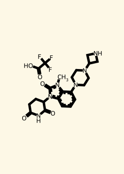 Cn1c(=O)n(C2CCC(=O)NC2=O)c2cccc(N3CCN(C4CNC4)CC3)c21.O=C(O)C(F)(F)F